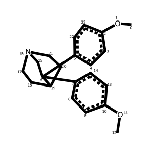 COc1ccc(C2(c3ccc(OC)cc3)CN3CCC2CC3)cc1